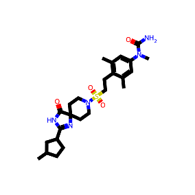 Cc1cc(N(C)C(N)=O)cc(C)c1CCS(=O)(=O)N1CCC2(CC1)N=C(C1CCC(C)C1)NC2=O